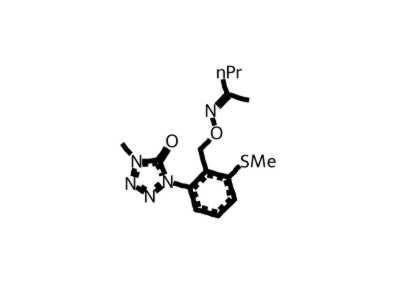 CCCC(C)=NOCc1c(SC)cccc1-n1nnn(C)c1=O